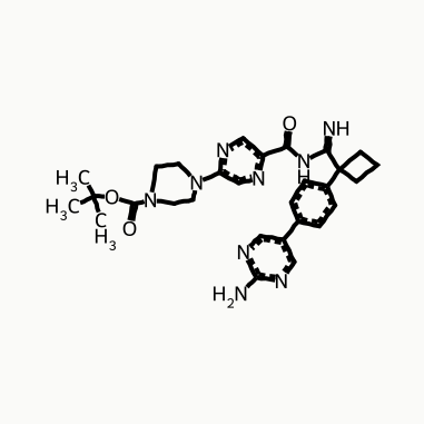 CC(C)(C)OC(=O)N1CCN(c2cnc(C(=O)NC(=N)C3(c4ccc(-c5cnc(N)nc5)cc4)CCC3)cn2)CC1